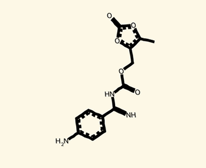 Cc1oc(=O)oc1COC(=O)NC(=N)c1ccc(N)cc1